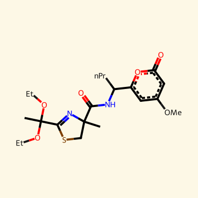 CCCC(NC(=O)C1(C)CSC(C(C)(OCC)OCC)=N1)c1cc(OC)cc(=O)o1